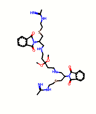 COC(CCNCC(CSCCNC(C)=N)N1C(=O)c2ccccc2C1=O)(CCNCC(CSCCNC(C)=N)N1C(=O)c2ccccc2C1=O)OC